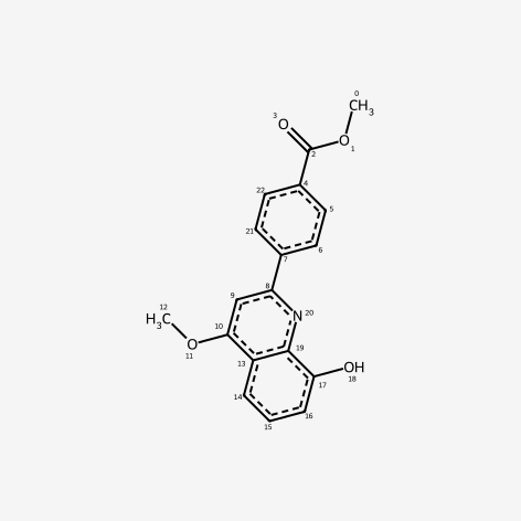 COC(=O)c1ccc(-c2cc(OC)c3cccc(O)c3n2)cc1